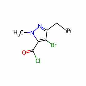 CC(C)Cc1nn(C)c(C(=O)Cl)c1Br